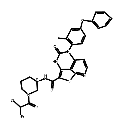 Cc1cc(Oc2ccccc2)ccc1N1C(=O)Nc2c(C(=O)N[C@@H]3CCCN(C(=O)C(Cl)C(C)C)C3)sc3nccc1c23